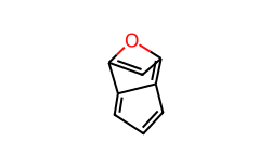 C1=Cc2c3oc(c2=C1)=C3